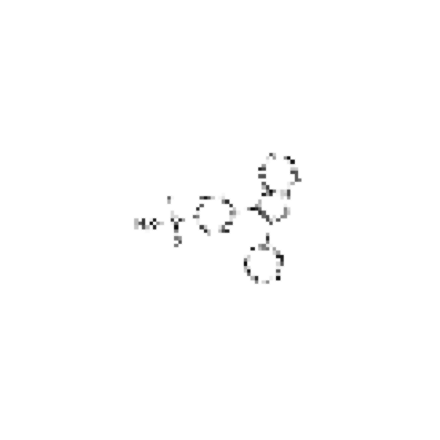 CS(=O)(=O)c1ccc(-c2c(-c3ccccc3)nn3ncccc23)cc1